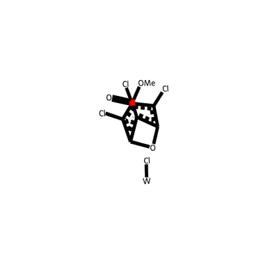 COC(=O)c1c2c(Cl)c(Cl)c(Cl)c1O2.[Cl][W]